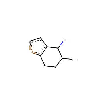 CCCC1CCc2sccc2C1N